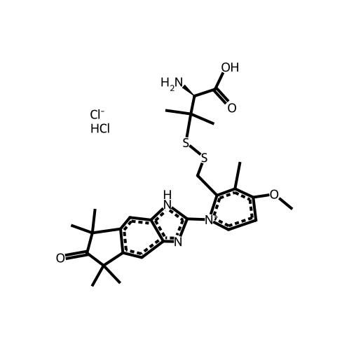 COc1cc[n+](-c2nc3cc4c(cc3[nH]2)C(C)(C)C(=O)C4(C)C)c(CSSC(C)(C)[C@@H](N)C(=O)O)c1C.Cl.[Cl-]